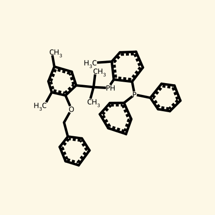 Cc1cc(C)c(OCc2ccccc2)c(C(C)(C)Pc2c(C)cccc2P(c2ccccc2)c2ccccc2)c1